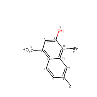 Cc1ccc2c(C(=O)O)cc(O)c(C(C)C)c2c1